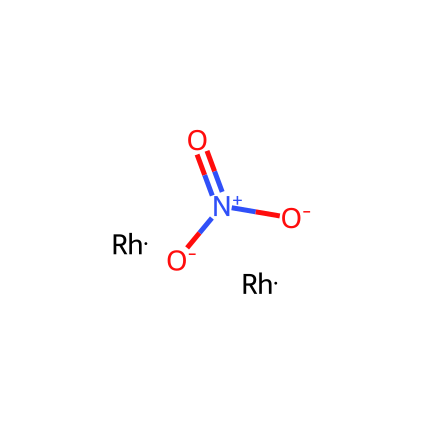 O=[N+]([O-])[O-].[Rh].[Rh]